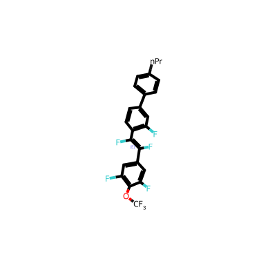 CCCc1ccc(-c2ccc(/C(F)=C(\F)c3cc(F)c(OC(F)(F)F)c(F)c3)c(F)c2)cc1